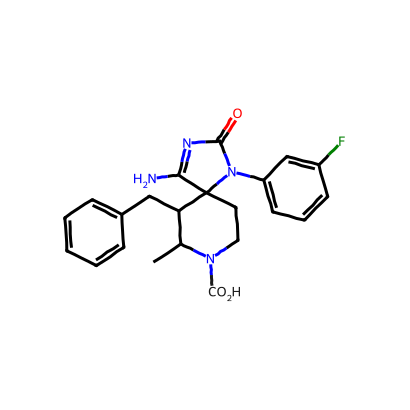 CC1C(Cc2ccccc2)C2(CCN1C(=O)O)C(N)=NC(=O)N2c1cccc(F)c1